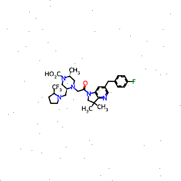 C[C@@H]1CN(CC(=O)N2CC(C)(C)c3ncc(Cc4ccc(F)cc4)cc32)[C@@H](CN2CCC[C@H]2C(F)(F)F)CN1C(=O)O